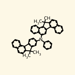 CC1(C)c2cc(N(c3ccccc3)c3cc4c(c5ccccc35)C(C)(C)c3ccc5ccccc5c3-4)ccc2-c2c1ccc1ccccc21